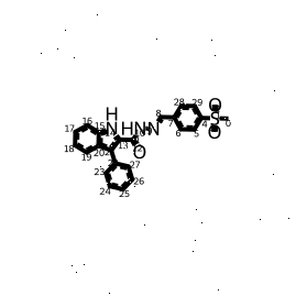 CS(=O)(=O)c1ccc(C=NNC(=O)c2[nH]c3ccccc3c2-c2ccccc2)cc1